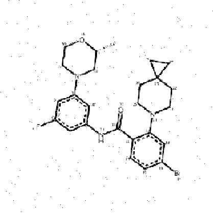 C[C@@H]1CN(c2cc(F)cc(NC(=O)c3ccc(Br)cc3N3CCC4(CC3)CC4)c2)CCO1